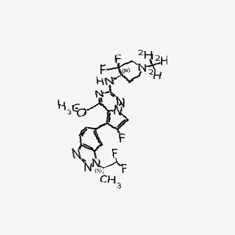 [2H]C([2H])([2H])N1CC[C@@H](Nc2nc(OC)c3c(-c4ccc5nnn([C@@H](C)C(F)F)c5c4)c(F)cn3n2)C(F)(F)C1